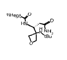 CCCCCCCC(=O)N[C@H](CC(N)=O)C1(NC(C)(C)C)COC1